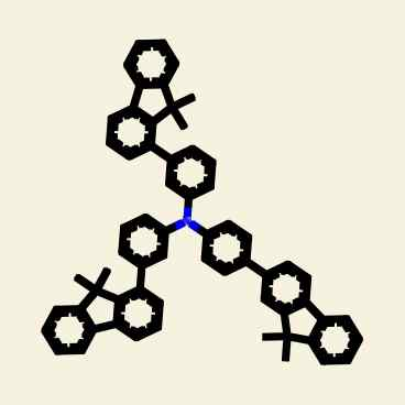 CC1(C)c2ccccc2-c2ccc(-c3ccc(N(c4cccc(-c5cccc6c5C(C)(C)c5ccccc5-6)c4)c4cccc(-c5cccc6c5C(C)(C)c5ccccc5-6)c4)cc3)cc21